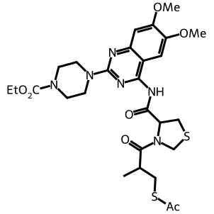 CCOC(=O)N1CCN(c2nc(NC(=O)C3CSCN3C(=O)C(C)CSC(C)=O)c3cc(OC)c(OC)cc3n2)CC1